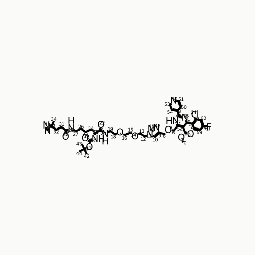 COC(=O)C1=C(COCc2cn(CCOCCOCCNC(=O)[C@H](CCCCNC(=O)CCC3(C)N=N3)NC(=O)OC(C)(C)C)nn2)NC(c2ccncc2)=NC1c1ccc(F)cc1Cl